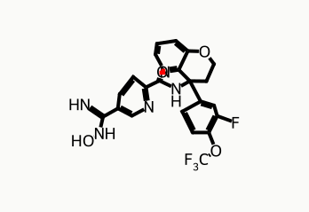 N=C(NO)c1ccc(C(=O)NC2(c3ccc(OC(F)(F)F)c(F)c3)CCOc3cccnc32)nc1